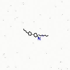 CCC/C=C/CC[C@]1(C#N)CC[C@@H](C2CCC(CCCC)CC2)CC1